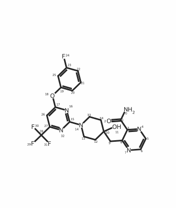 NC(=O)c1nccnc1CC1(O)CCN(c2nc(Oc3cccc(F)c3)cc(C(F)(F)F)n2)CC1